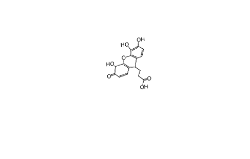 O=C(O)CCC1C2=C(Oc3c1ccc(O)c3O)C(O)C(=O)C=C2